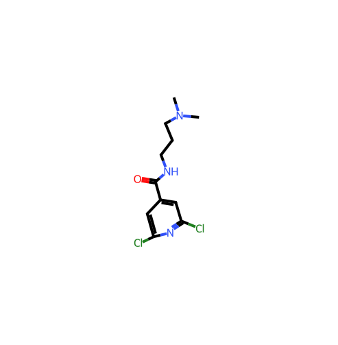 CN(C)CCCNC(=O)c1cc(Cl)nc(Cl)c1